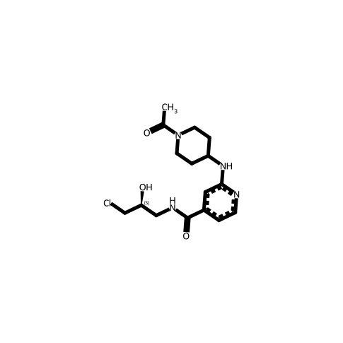 CC(=O)N1CCC(Nc2cc(C(=O)NC[C@H](O)CCl)ccn2)CC1